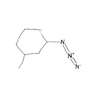 CC1CC[CH]C(N=[N+]=[N-])C1